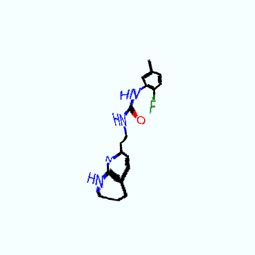 Cc1ccc(F)c(NC(=O)NCCc2ccc3c(n2)NCCC3)c1